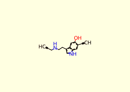 C#CCNCCc1c[nH]c2cc(C#C)c(O)cc12